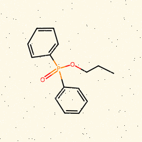 CCCOP(=O)(c1ccccc1)c1ccccc1